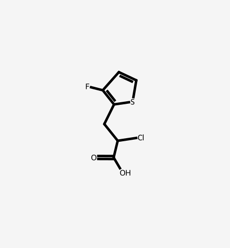 O=C(O)C(Cl)Cc1sccc1F